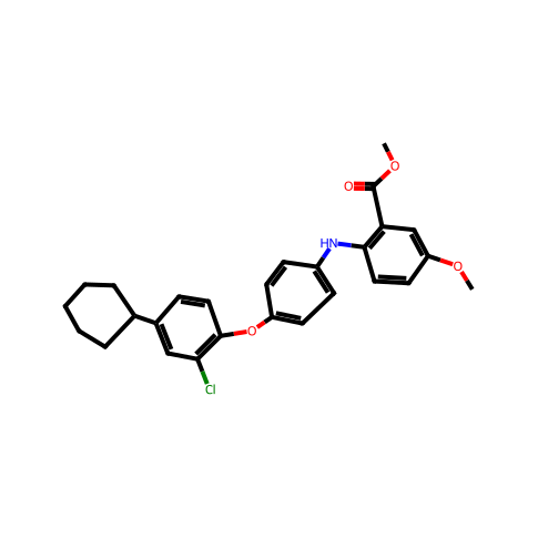 COC(=O)c1cc(OC)ccc1Nc1ccc(Oc2ccc(C3CCCCC3)cc2Cl)cc1